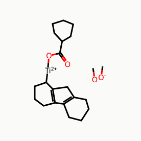 C[O-].C[O-].O=C([O][Ti+2][CH]1CCCC2=C1CC1=C2CCCC1)C1CCCCC1